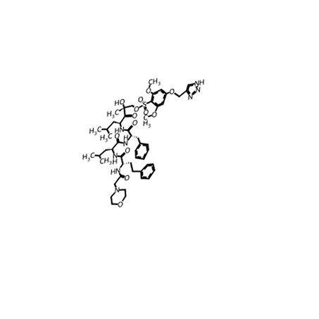 COc1cc(OCc2c[nH]nn2)cc(OC)c1S(=O)(=O)OC[C@@](C)(O)C(=O)[C@H](CC(C)C)NC(=O)[C@H](Cc1ccccc1)NC(=O)[C@H](CC(C)C)NC(=O)[C@H](CCc1ccccc1)NC(=O)CN1CCOCC1